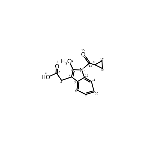 Cc1c(CC(=O)O)c2ccccc2n1C(=O)C1CC1